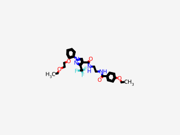 CCOCCOc1ccccc1-n1cc(C(=O)NCCNC(=O)c2ccc(OCC)cc2)c(C(F)(F)F)n1